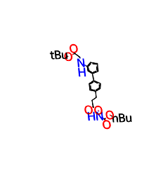 CCCCOC(=O)NOC(=O)CCc1ccc(-c2cccc(NCC(=O)OC(C)(C)C)c2)cc1